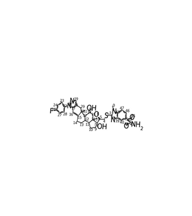 Cn1c(SCC(=O)[C@@]2(O)CCC3C4CCC5=Cc6c(cnn6-c6ccc(F)cc6)CC5(C)C4[C@@H](O)CC32C)nc2cc(S(N)(=O)=O)ccc21